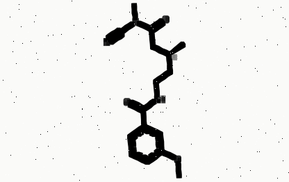 COc1cccc(C(=O)NCC[C@H](C)CC(=O)N(C)C#N)c1